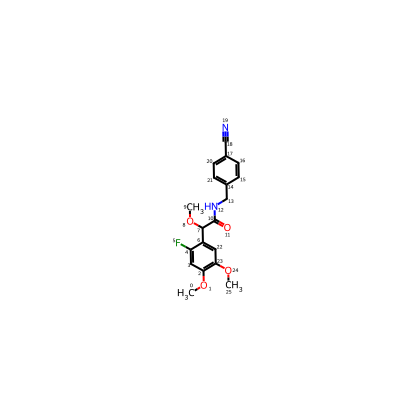 COc1cc(F)c(C(OC)C(=O)NCc2ccc(C#N)cc2)cc1OC